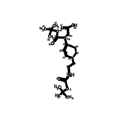 CC(C)(C)OC(=O)NCCN1CCC(N(CC(=O)O)C(=O)OC(C)(C)C)CC1